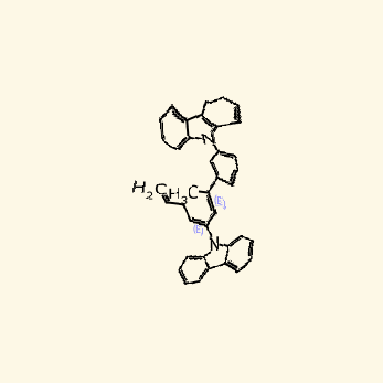 C=CC/C=C(\C=C(/C)c1cccc(-n2c3c(c4ccccc42)CCC=C3)c1)n1c2ccccc2c2ccccc21